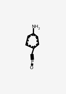 Nc1ccc(C#P=O)cc1